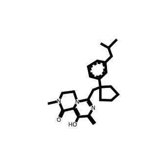 C=C1N=C(CC2(c3cccc(CC(C)C)c3)CCCC2)N2CCN(C)C(=O)C2=C1O